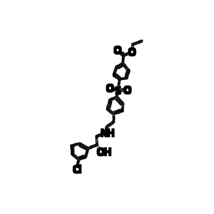 CCOC(=O)c1ccc(S(=O)(=O)c2ccc(CCNC[C@H](O)c3cccc(Cl)c3)cc2)cc1